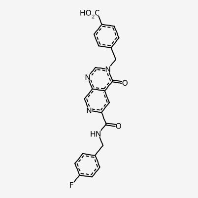 O=C(O)c1ccc(Cn2cnc3cnc(C(=O)NCc4ccc(F)cc4)cc3c2=O)cc1